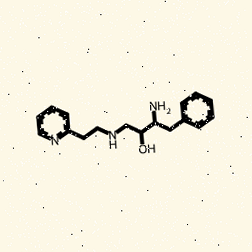 NC(Cc1ccccc1)C(O)CNCCc1ccccn1